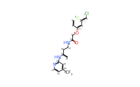 C=C/C(=C\C(F)=C\Cl)OCC(=O)NCCC(=C)Nc1cc(C(F)(F)F)ccn1